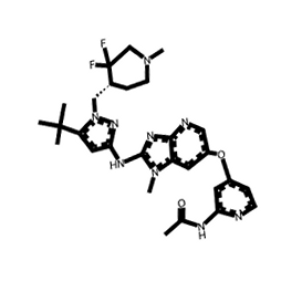 CC(=O)Nc1cc(Oc2cnc3nc(Nc4cc(C(C)(C)C)n(C[C@H]5CCN(C)CC5(F)F)n4)n(C)c3c2)ccn1